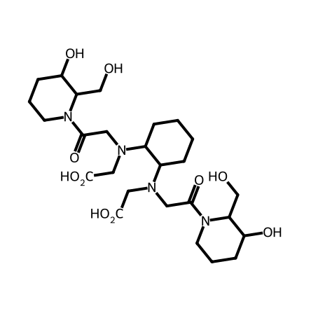 O=C(O)CN(CC(=O)N1CCCC(O)C1CO)C1CCCCC1N(CC(=O)O)CC(=O)N1CCCC(O)C1CO